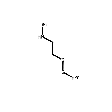 CCCSSCCNC(C)C